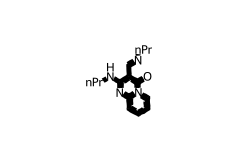 CCCN=Cc1c(NCCC)nc2ccccn2c1=O